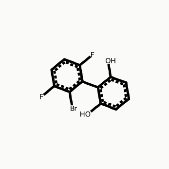 Oc1cccc(O)c1-c1c(F)ccc(F)c1Br